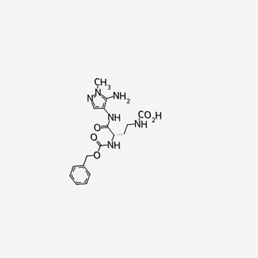 Cn1ncc(NC(=O)[C@H](CCNC(=O)O)NC(=O)OCc2ccccc2)c1N